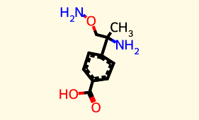 CC(N)(CON)c1ccc(C(=O)O)cc1